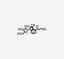 CC(C)CCNc1ncnc2c1c(C#N)cn2[C@@H]1OC(CO)C(O)[C@H]1O